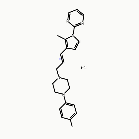 Cc1c(/C=C/CN2CCN(c3ccc(F)cc3)CC2)cnn1-c1ncccn1.Cl